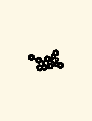 c1ccc(-c2ccc(N(c3cccc4c3-c3ccccc3C43c4ccc5ccccc5c4Oc4c3ccc3ccccc43)c3cccc4ccccc34)cc2)cc1